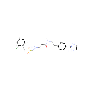 CN(CCc1ccc(C2=NCCN2)cc1)C(=O)CCNCS(=O)(=O)Cc1ccccc1Cl